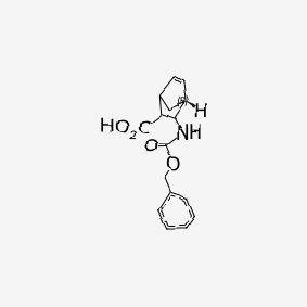 O=C(NC1C(C(=O)O)C2C=C[C@H]1C2)OCc1ccccc1